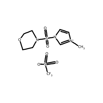 C[n+]1ccn(S(=O)(=O)N2CCOCC2)c1.O=S(=O)([O-])C(F)(F)F